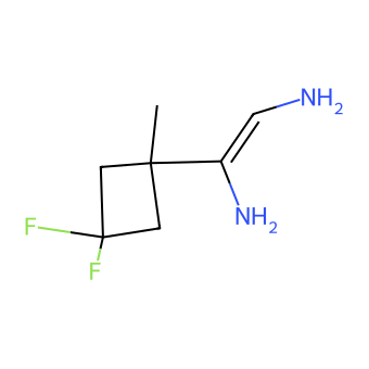 CC1(/C(N)=C/N)CC(F)(F)C1